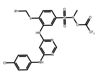 CC(C)CSc1ccc(S(=O)(=O)N(C)OC(=O)C(F)(F)F)cc1Nc1cc(Nc2ccc(Cl)cc2)ncn1